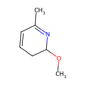 COC1CC=CC(C)=N1